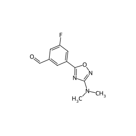 CN(C)c1noc(-c2cc(F)cc(C=O)c2)n1